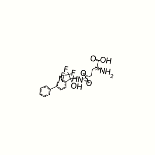 N[C@@H](CCS(=O)(=O)NCC(O)(c1ccc(-c2ccccc2)cn1)C(F)(F)F)C(=O)O